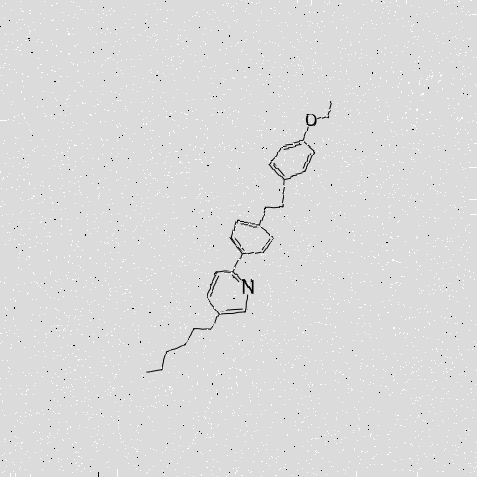 CCCCCCc1ccc(-c2ccc(CCc3ccc(OCC)cc3)cc2)nc1